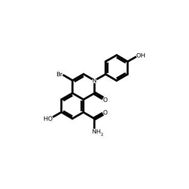 NC(=O)c1cc(O)cc2c(Br)cn(-c3ccc(O)cc3)c(=O)c12